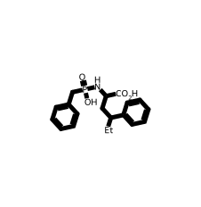 CCC(CC(NP(=O)(O)Cc1ccccc1)C(=O)O)c1ccccc1